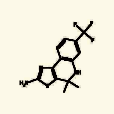 CC1(C)Nc2cc(C(F)(F)F)ccc2-c2nc(N)sc21